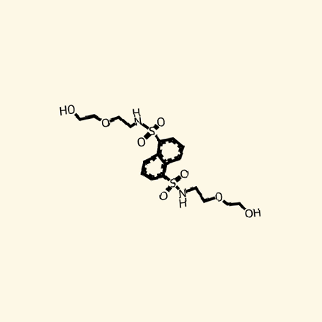 O=S(=O)(NCCOCCO)c1cccc2c(S(=O)(=O)NCCOCCO)cccc12